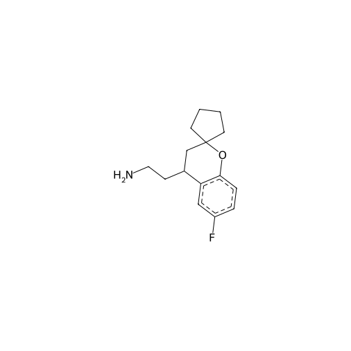 NCCC1CC2(CCCC2)Oc2ccc(F)cc21